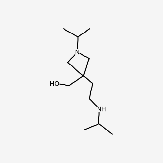 CC(C)NCCC1(CO)CN(C(C)C)C1